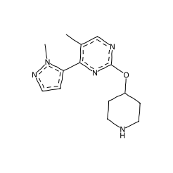 Cc1cnc(OC2CCNCC2)nc1-c1ccnn1C